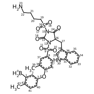 Bc1cc(Oc2ccc(S(=O)(=O)N3C(=O)N(S(=O)(=O)CCCCN)C(=O)C3Cc3c[nH]c4ccccc34)cc2C)ccc1C